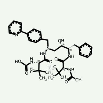 CC(C)(C)[C@H](NC(=O)O)C(=O)N[C@@H](Cc1ccccc1)[C@@H](O)CN(Cc1ccc(-c2ccccn2)cc1)NC(=O)[C@@H](NC(=O)O)C(C)(C)C